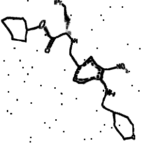 CC(C)C[C@H](NCc1ccc(NCC2CCOCC2)c([N+](=O)[O-])c1)C(=O)OC1CCCC1